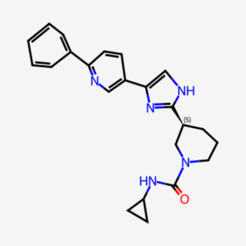 O=C(NC1CC1)N1CCC[C@H](c2nc(-c3ccc(-c4ccccc4)nc3)c[nH]2)C1